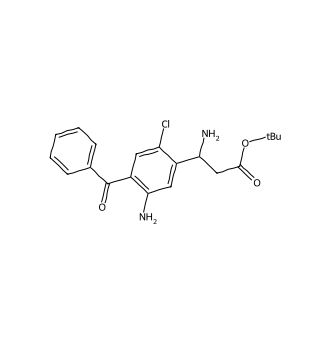 CC(C)(C)OC(=O)CC(N)c1cc(N)c(C(=O)c2ccccc2)cc1Cl